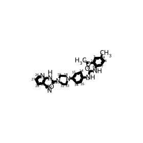 COc1cc(C)ccc1NC(=O)Nc1ccc(N2CCN(C(=O)Nc3ncccc3C#N)CC2)cc1